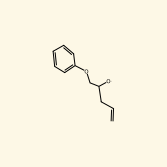 C=CCC([O])COc1ccccc1